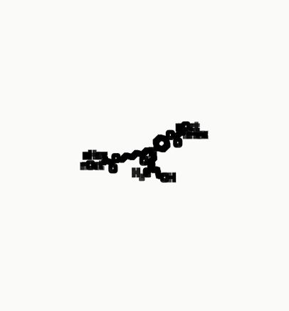 CCCCCCCCC(CCCCCC)C(=O)OCCCCC(O)CN(CCN(C)CCO)C1CCC(OC(=O)C(CCCCCC)CCCCCCCC)CC1